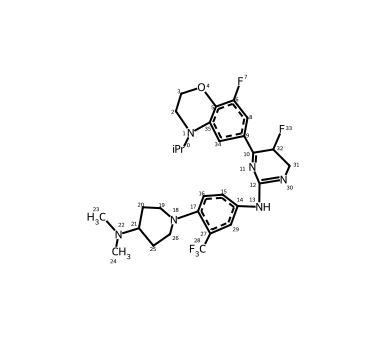 CC(C)N1CCOc2c(F)cc(C3=NC(Nc4ccc(N5CCC(N(C)C)CC5)c(C(F)(F)F)c4)=NCC3F)cc21